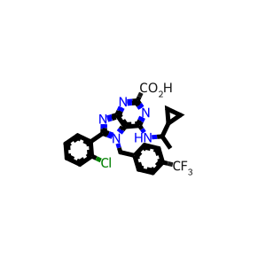 CC(Nc1nc(C(=O)O)nc2nc(-c3ccccc3Cl)n(Cc3ccc(C(F)(F)F)cc3)c12)C1CC1